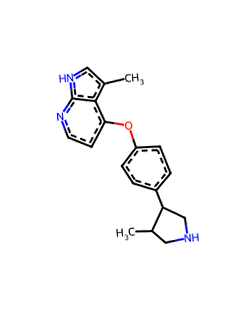 Cc1c[nH]c2nccc(Oc3ccc(C4CNCC4C)cc3)c12